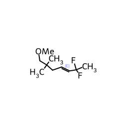 COCC(C)(C)C/C=C/C(C)(F)F